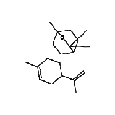 C=C(C)C1CC=C(C)CC1.CC12CCC(CC1)C(C)(C)O2